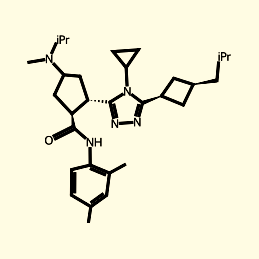 Cc1ccc(NC(=O)[C@H]2CC(N(C)C(C)C)C[C@@H]2c2nnc([C@H]3C[C@@H](CC(C)C)C3)n2C2CC2)c(C)c1